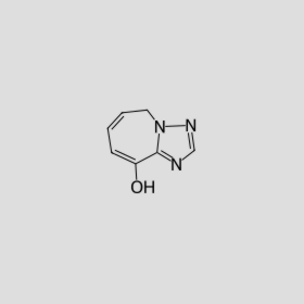 OC1=CC=CCn2ncnc21